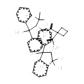 CC(C)(C)[C@@H](NC(=O)C1(C(=O)N[C@H](C(C)(C)C)C(O)(c2ccccc2)c2ccccc2)CCC1)C(O)(c1ccccc1)c1ccccc1